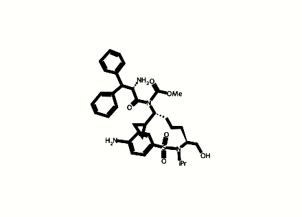 COC(=O)N(C(=O)[C@@H](N)C(c1ccccc1)c1ccccc1)[C@H](CCC[C@@H](CO)N(C(C)C)S(=O)(=O)c1ccc(N)cc1)C1CC1